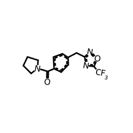 O=C(c1ccc(Cc2noc(C(F)(F)F)n2)cc1)N1CCCC1